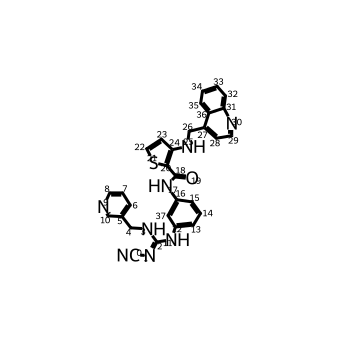 N#CN=C(NCc1cccnc1)Nc1cccc(NC(=O)c2sccc2NCc2ccnc3ccccc23)c1